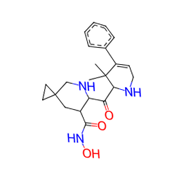 CC1(C)C(c2ccccc2)=CCNC1C(=O)C1NCC2(CC2)CC1C(=O)NO